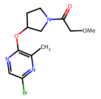 COCC(=O)N1CCC(Oc2ncc(Br)nc2C)C1